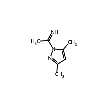 CC(=N)n1nc(C)cc1C